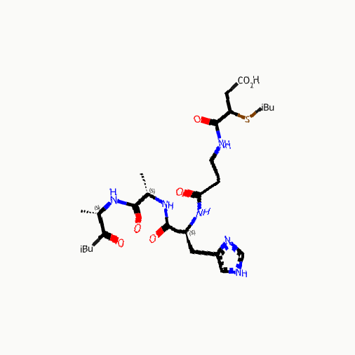 CCC(C)SC(CC(=O)O)C(=O)NCCC(=O)N[C@@H](Cc1c[nH]cn1)C(=O)N[C@@H](C)C(=O)N[C@@H](C)C(=O)C(C)CC